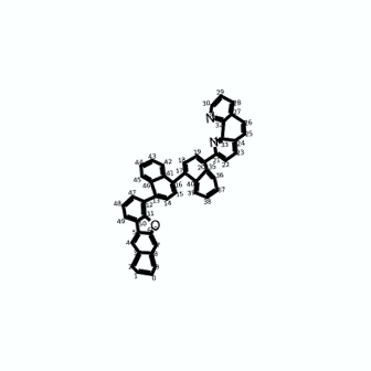 c1ccc2cc3c(cc2c1)oc1c(-c2ccc(-c4ccc(-c5ccc6ccc7cccnc7c6n5)c5ccccc45)c4ccccc24)cccc13